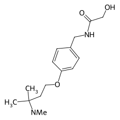 CNC(C)(C)CCOc1ccc(CNC(=O)CO)cc1